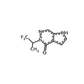 CC(n1ncc2[nH]ccc2c1=O)C(F)(F)F